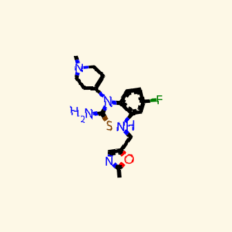 Cc1ncc(CNc2cc(F)ccc2N(C(N)=S)C2CCN(C)CC2)o1